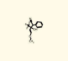 CCOC=CC(O)(C(C#N)c1ccccc1)C(F)(F)F